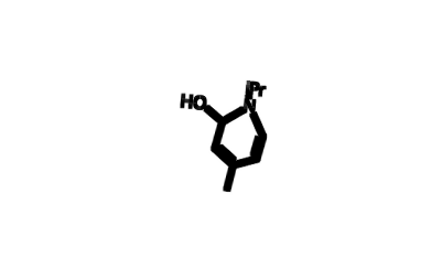 CC1=CC(O)N(C(C)C)C=C1